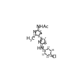 CC(=O)Nc1nc(C)c(-c2csc(Nc3ccc(Cl)cc3)n2)s1